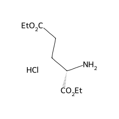 CCOC(=O)CC[C@H](N)C(=O)OCC.Cl